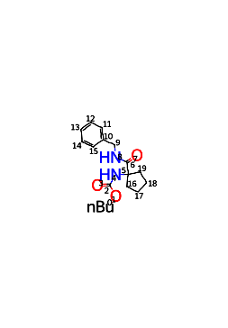 CCCCOC(=O)NC1(C(=O)NCc2ccccc2)CCCC1